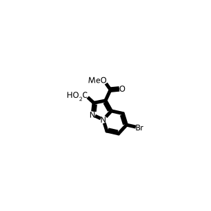 COC(=O)c1c(C(=O)O)nn2ccc(Br)cc12